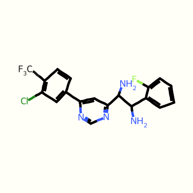 NC(c1cc(-c2ccc(C(F)(F)F)c(Cl)c2)ncn1)C(N)c1ccccc1F